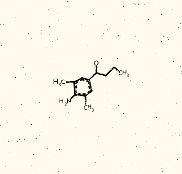 CCCC([O])c1cc(C)c(N)c(C)c1